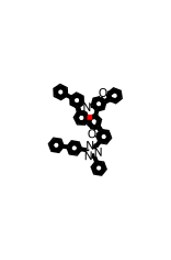 c1ccc(-c2ccc(-c3nc(-c4ccccc4)nc(-c4cccc5c4oc4ccc(-c6cc7c(cc6-n6c8ccccc8c8cc(-c9ccccc9)ccc86)oc6ccccc67)cc45)n3)cc2)cc1